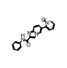 O=C(Nc1ccccc1)c1cn2cc(-c3cccc[n+]3[O-])ccc2n1